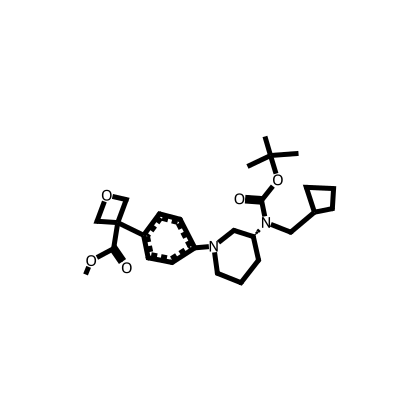 COC(=O)C1(c2ccc(N3CCC[C@@H](N(CC4CCC4)C(=O)OC(C)(C)C)C3)cc2)COC1